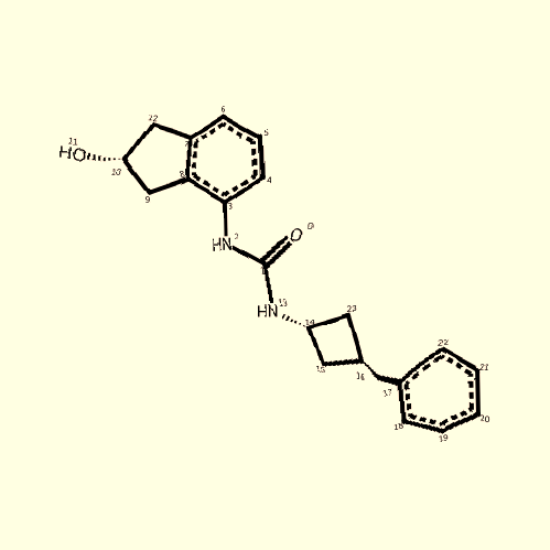 O=C(Nc1cccc2c1C[C@H](O)C2)N[C@H]1C[C@H](c2ccccc2)C1